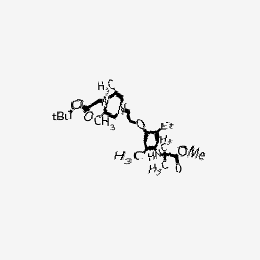 CCc1cc(NC(C)(C)C(=O)OC)c(C)cc1OCCN1C[C@@H](C)N(CC(=O)OC(C)(C)C)[C@@H](C)C1